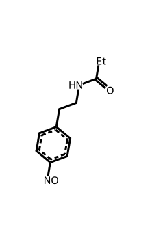 CCC(=O)NCCc1ccc(N=O)cc1